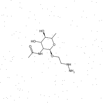 CC(=O)NC1C(O)[C@@H](O)C(C)O[C@H]1OCCNN